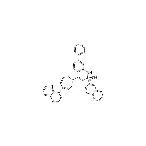 C[C@@]1(c2ccc3ccccc3c2)C=C(C2=CC=C(c3cccc4cccnc34)C=CC2)c2ccc(-c3ccccc3)cc2N1